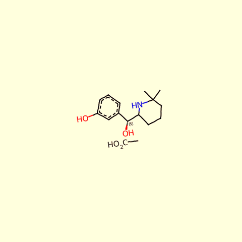 CC(=O)O.CC1(C)CCCC([C@@H](O)c2cccc(O)c2)N1